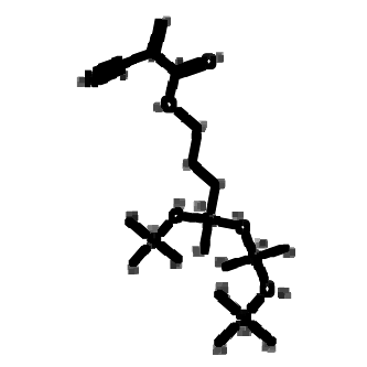 C=C(C#N)C(=O)OCCC[Si](C)(O[Si](C)(C)C)O[Si](C)(C)O[Si](C)(C)C